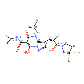 CC(=Cc1cnn2c(O)c(C(=O)NC3CC3)c(=O)n(CC(C)C)c12)C(=O)N1CCC(F)(F)C1